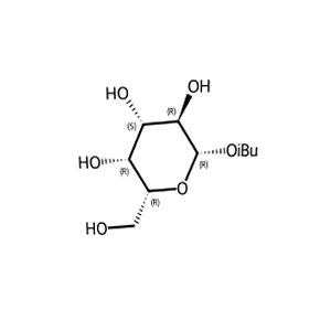 CC(C)CO[C@@H]1O[C@H](CO)[C@H](O)[C@H](O)[C@H]1O